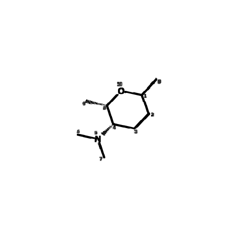 CC1CC[C@H](N(C)C)[C@H](C)O1